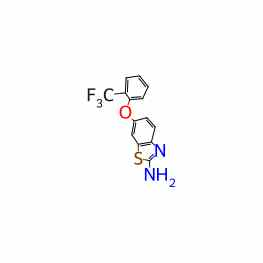 Nc1nc2ccc(Oc3ccccc3C(F)(F)F)cc2s1